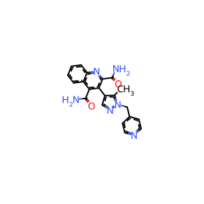 Cc1c(-c2c(C(N)=O)nc3ccccc3c2C(N)=O)cnn1Cc1ccncc1